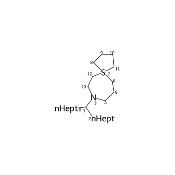 CCCCCCCC(CCCCCCC)N1CCCS2(CCCC2)CC1